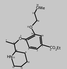 CCOC(=O)c1ccc(OC(C)C2CCCCN2)c(OCCOC)c1